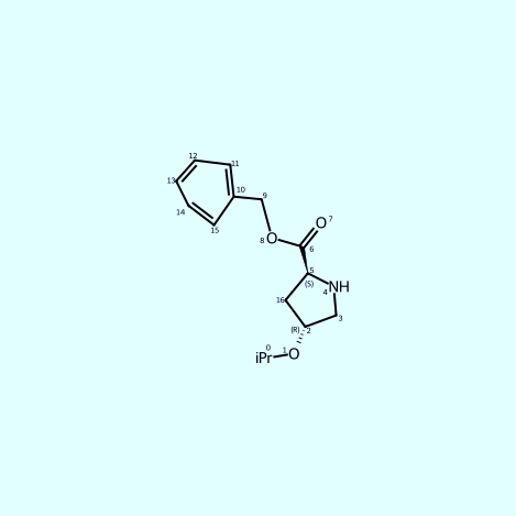 CC(C)O[C@H]1CN[C@H](C(=O)OCc2ccccc2)C1